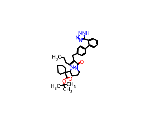 CCCc1c(Cc2ccc(-c3ccccc3-c3nnn[nH]3)cc2)c(=O)n2n1C(C1(C(=O)OC(C)(C)C)CCCCC1)CCC2